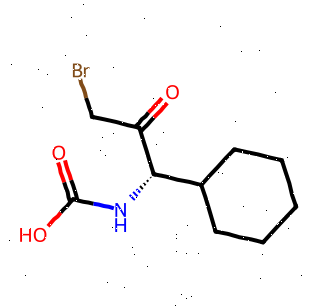 O=C(O)N[C@H](C(=O)CBr)C1CCCCC1